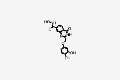 O=C(NO)c1ccc2c(=O)[nH]c(COc3ccc(O)c(O)c3)nc2c1